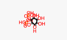 O=P(O)(O)O[C@@H]1[C@H](O)[C@H](O)[C@H](O)[C@H](O)[C@@H]1OP(=O)(O)O